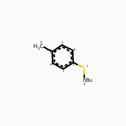 [CH2]CCCSc1ccc(C)cc1